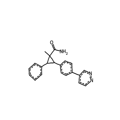 CC1(C(N)=O)C(c2ccccc2)C1c1ccc(-c2ccnnc2)cc1